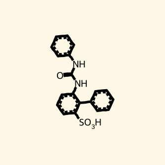 O=C(Nc1ccccc1)Nc1cccc(S(=O)(=O)O)c1-c1ccccc1